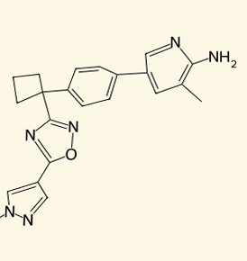 Cc1cc(-c2ccc(C3(c4noc(-c5cnn(C)c5)n4)CCC3)cc2)cnc1N